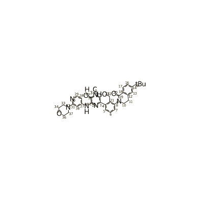 Cn1cc(-c2cccc(N3CCc4cc(C(C)(C)C)ccc4C3=O)c2CO)nc(Nc2ccnc(N3CCOCC3)c2)c1=O